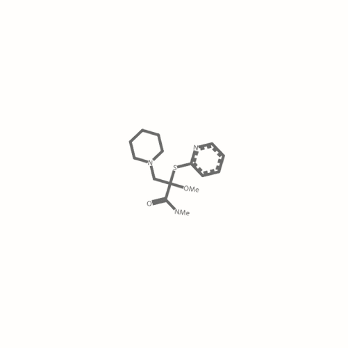 CNC(=O)C(CN1CCCCC1)(OC)Sc1ccccn1